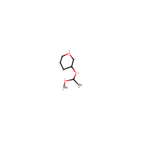 CCCCOC(OC1CCCOC1)C(C)CC